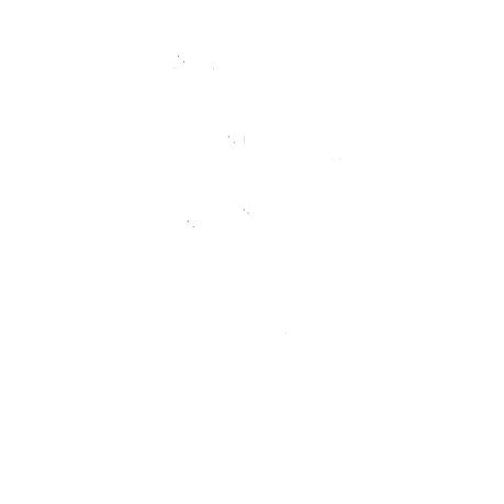 CC(C)(NCc1nc2ccc(Oc3ccc(F)cc3)cc2n1C1CCOCC1)C(N)=O